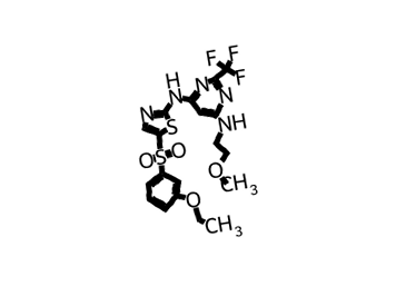 CCOc1cccc(S(=O)(=O)c2cnc(Nc3cc(NCCOC)nc(C(F)(F)F)n3)s2)c1